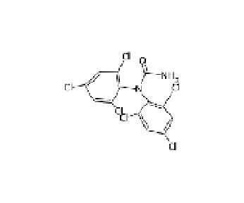 NC(=O)N(c1c(Cl)cc(Cl)cc1Cl)c1c(Cl)cc(Cl)cc1Cl